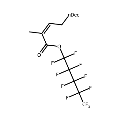 CCCCCCCCCCCC=C(C)C(=O)OC(F)(F)C(F)(F)C(F)(F)C(F)(F)C(F)(F)F